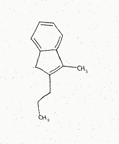 CCCC1=C(C)c2ccccc2[CH]1